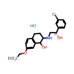 CCOC(=O)COc1ccc2c(c1)C(O)C(NC[C@@H](O)c1cccc(Cl)c1)CC2.Cl